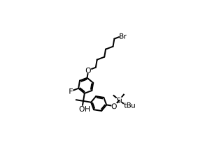 CC(O)(c1ccc(O[Si](C)(C)C(C)(C)C)cc1)c1ccc(OCCCCCCBr)cc1F